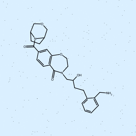 NCc1ccccc1CCC(O)CN1CCOc2cc(C(=O)N3C4CCC3COC4)ccc2C1=O